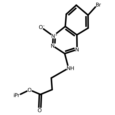 CC(C)OC(=O)CCNc1nc2cc(Br)ccc2[n+]([O-])n1